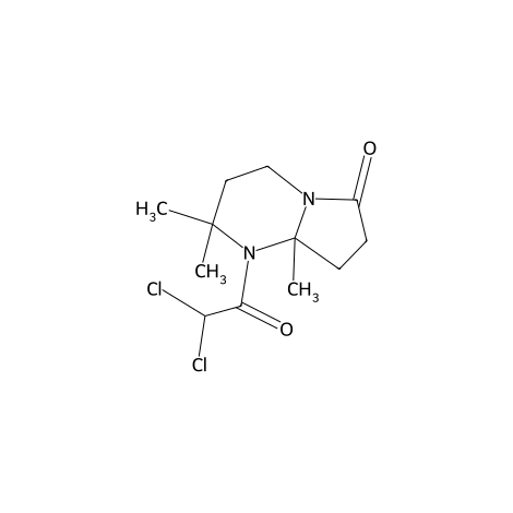 CC1(C)CCN2C(=O)CCC2(C)N1C(=O)C(Cl)Cl